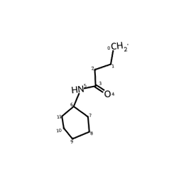 [CH2]CCC(=O)NC1CCCCC1